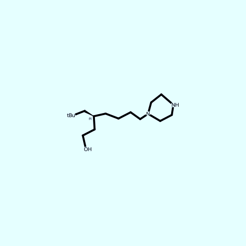 CC(C)(C)C[C@H](CCO)CCCCN1CCNCC1